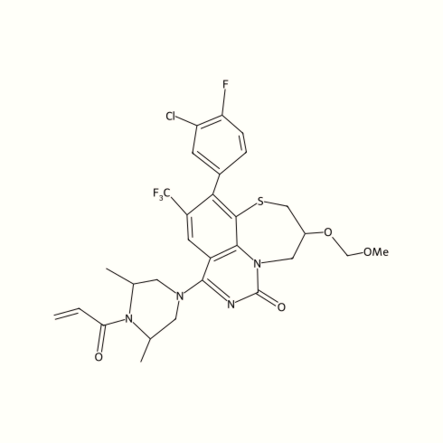 C=CC(=O)N1C(C)CN(c2nc(=O)n3c4c(c(-c5ccc(F)c(Cl)c5)c(C(F)(F)F)cc24)SCC(OCOC)C3)CC1C